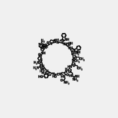 CCCC[C@H]1C(=O)N(C)[C@@H](CCCC)C(=O)N[C@@H](CCCNC(=N)N)C(=O)NC(C(=O)NCC(N)=O)CSCC(=O)N[C@@H](Cc2ccc(O)cc2)C(=O)N(C)[C@@H](C)C(=O)N[C@@H](CC(N)=O)C(=O)N2[C@@H](C)CC[C@H]2C(=O)N[C@@H](Cc2cnc[nH]2)C(=O)N[C@@H](CC(C)C)C(=O)N2CCC[C@H]2C(=O)N[C@@H](Cc2c[nH]c3ccccc23)C(=O)N[C@@H](CO)C(=O)N[C@@H](Cc2c[nH]c3ccccc23)C(=O)N1C